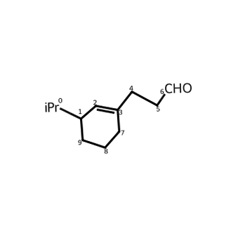 CC(C)C1C=C(CCC=O)CCC1